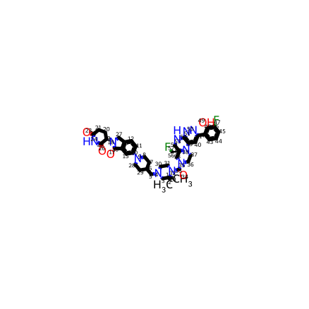 CC1(C)CN(CC2CCN(c3ccc4c(c3)C(=O)N([C@H]3CCC(=O)NC3=O)C4)CC2)CCN1C(=O)N1CCN2c3cc(-c4cccc(F)c4O)nnc3NC[C@@]2(CF)C1